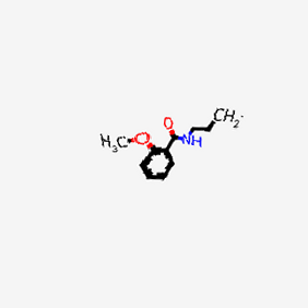 [CH2]CCNC(=O)c1ccccc1OC